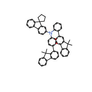 CC1(C)c2ccccc2-c2ccc(-c3ccccc3N(c3ccc(-c4cccc5c4C(C)(C)c4ccccc4-5)cc3)c3ccc4c(c3)C3(CCCC3)c3ccccc3-4)cc21